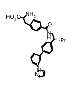 CC(C)[C@@H](CNC(=O)c1ccc(CC(N)C(=O)O)cc1)c1ccc(-c2cccc(-n3cccn3)c2)cc1